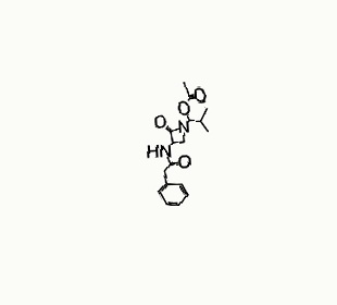 CC(=O)OC(C(C)C)N1CC(NC(=O)Cc2ccccc2)C1=O